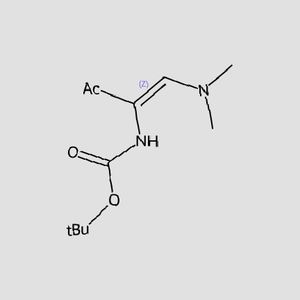 CC(=O)/C(=C/N(C)C)NC(=O)OC(C)(C)C